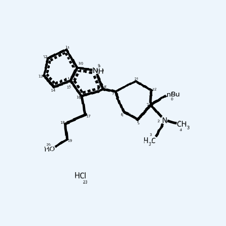 CCCCC1(N(C)C)CCC(c2[nH]c3ccccc3c2CCCO)CC1.Cl